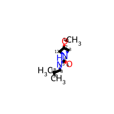 COC1CN(C(=O)NCC(C)C)C1